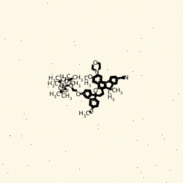 COc1ccc(C2(c3ccc(OCCO[Si](OC(C)(C)C)(OC(C)(C)C)OC(C)(C)C)cc3)C=Cc3c4c(c5cc(N6CCOCC6)c(OC)cc5c3O2)-c2ccc(C#N)cc2C4(C)C)cc1